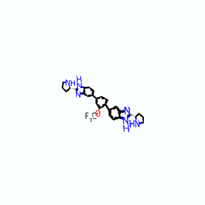 FC(F)(F)Oc1cc(-c2ccc3[nH]c([C@@H]4CCCN4)nc3c2)ccc1-c1ccc2[nH]c([C@@H]3CCCN3)nc2c1